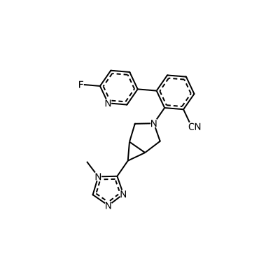 Cn1cnnc1C1C2CN(c3c(C#N)cccc3-c3ccc(F)nc3)CC21